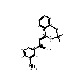 CC1(C)Cc2ccccc2/C(=C/C(=O)c2cccc(N)c2)N1